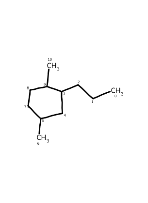 CCCC1CC(C)[CH]CC1C